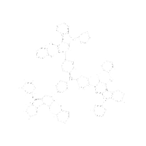 c1ccc(-n2c3ccccc3c3c4c(c(-c5ccc(N(c6ccc(-c7cc8c(c9c7Oc7ccccc7S9)c7ccccc7n8-c7ccccc7)cc6)c6ccc(-c7cc8c(c9c7Sc7ccccc7O9)c7ccccc7n8-c7ccccc7)cc6)cc5)cc32)Sc2ccccc2O4)cc1